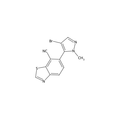 Cn1ncc(Br)c1-c1ccc2ncsc2c1C#N